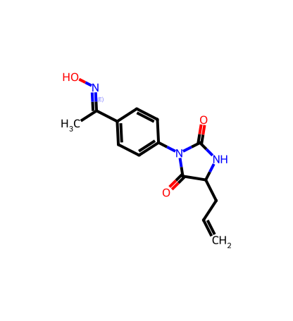 C=CCC1NC(=O)N(c2ccc(/C(C)=N/O)cc2)C1=O